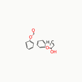 C=CC(=O)O.O=COc1ccccc1.c1ccccc1